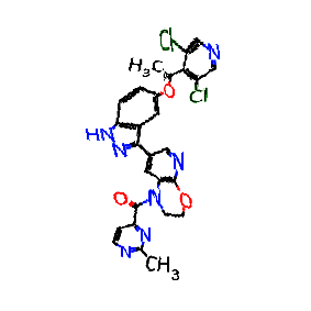 Cc1nccc(C(=O)N2CCOc3ncc(-c4n[nH]c5ccc(O[C@H](C)c6c(Cl)cncc6Cl)cc45)cc32)n1